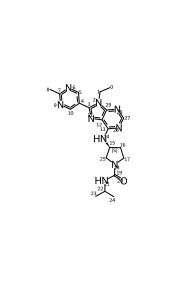 CCn1c(-c2cnc(C)nc2)nc2c(N[C@H]3CCN(C(=O)NC(C)C)C3)ncnc21